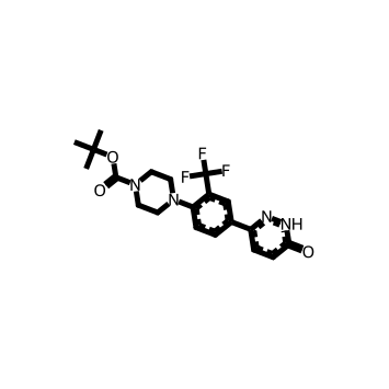 CC(C)(C)OC(=O)N1CCN(c2ccc(-c3ccc(=O)[nH]n3)cc2C(F)(F)F)CC1